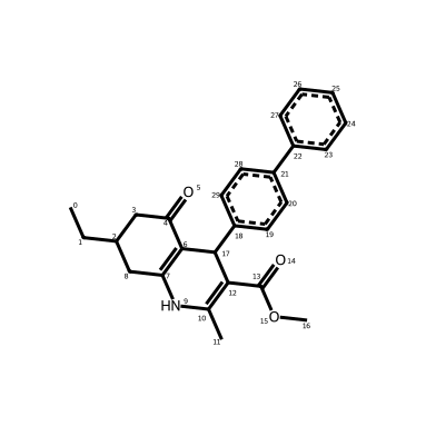 CCC1CC(=O)C2=C(C1)NC(C)=C(C(=O)OC)C2c1ccc(-c2ccccc2)cc1